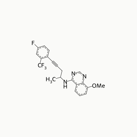 COc1cccc2c(NC(C)CC#Cc3ccc(F)cc3C(F)(F)F)ncnc12